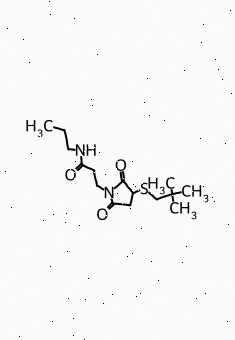 CCCNC(=O)CCN1C(=O)CC(SCC(C)(C)C)C1=O